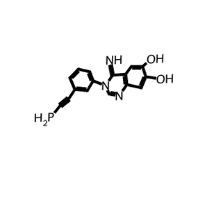 N=c1c2cc(O)c(O)cc2ncn1-c1cccc(C#CP)c1